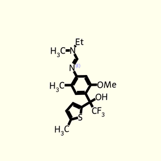 CCN(C)/C=N/c1cc(OC)c(C(O)(c2ccc(C)s2)C(F)(F)F)cc1C